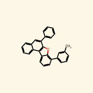 Cc1cccc(-c2cccc3c2oc2c(-c4ccccc4)cc4ccccc4c23)c1